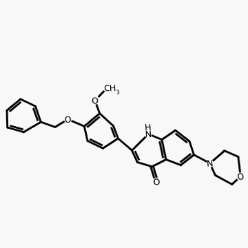 COc1cc(-c2cc(=O)c3cc(N4CCOCC4)ccc3[nH]2)ccc1OCc1ccccc1